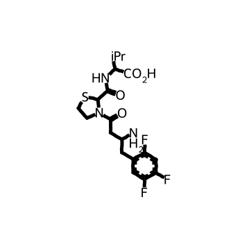 CC(C)C(NC(=O)C1SCCN1C(=O)CC(N)Cc1cc(F)c(F)cc1F)C(=O)O